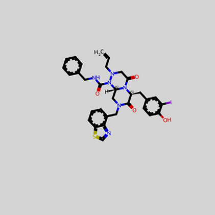 C=CCN1CC(=O)N2[C@@H](Cc3ccc(O)c(I)c3)C(=O)N(Cc3cccc4scnc34)C[C@@H]2N1C(=O)NCc1ccccc1